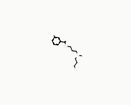 CN(CCCN)CCCNC(=O)c1cccc(O)c1